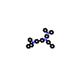 c1ccc(-c2ccc(N(c3ccc(-c4ccc(-n5c6ccccc6c6c7ccccc7ccc65)cc4)cc3)c3ccc(N(c4ccccc4)c4ccccc4)cc3)cc2)cc1